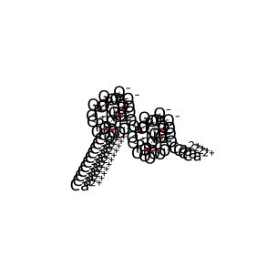 O=P([O-])([O-])C(N(C(P(=O)([O-])[O-])P(=O)([O-])P(=O)([O-])[O-])C(P(=O)([O-])[O-])P(=O)([O-])P(=O)([O-])[O-])P(=O)([O-])P(=O)([O-])[O-].O=P([O-])([O-])C(N(C(P(=O)([O-])[O-])P(=O)([O-])P(=O)([O-])[O-])C(P(=O)([O-])[O-])P(=O)([O-])P(=O)([O-])[O-])P(=O)([O-])P(=O)([O-])[O-].[Ca+2].[Ca+2].[Ca+2].[Ca+2].[Ca+2].[Ca+2].[Ca+2].[Ca+2].[Ca+2].[Ca+2].[Ca+2].[Ca+2].[Ca+2].[Ca+2].[Ca+2]